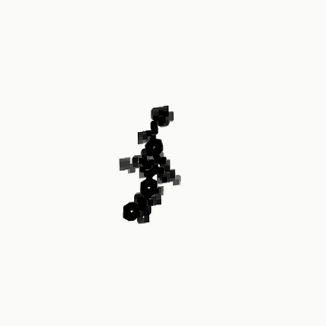 CC(C)c1nc(-c2ccc(NS(=O)(=O)c3ccccc3Cl)c(F)c2)c2c(N)ncc(-c3ccc(NCC[S+](C)[O-])cc3)n12